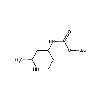 CC1CC(NC(=O)OC(C)(C)C)CCN1